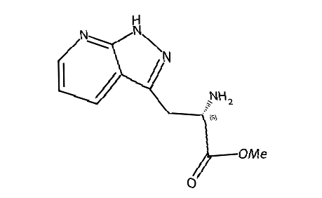 COC(=O)[C@@H](N)Cc1n[nH]c2ncccc12